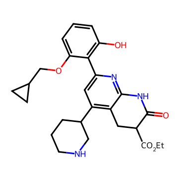 CCOC(=O)C1Cc2c(C3CCCNC3)cc(-c3c(O)cccc3OCC3CC3)nc2NC1=O